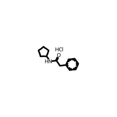 Cl.O=C(Cc1ccccc1)NC1CCCC1